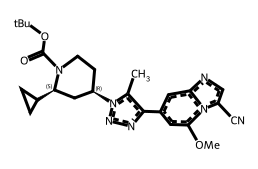 COc1cc(-c2nnn([C@@H]3CCN(C(=O)OC(C)(C)C)[C@H](C4CC4)C3)c2C)cc2ncc(C#N)n12